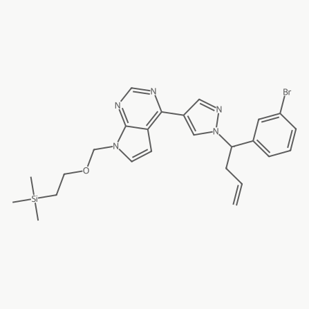 C=CC[C](c1cccc(Br)c1)n1cc(-c2ncnc3c2ccn3COCC[Si](C)(C)C)cn1